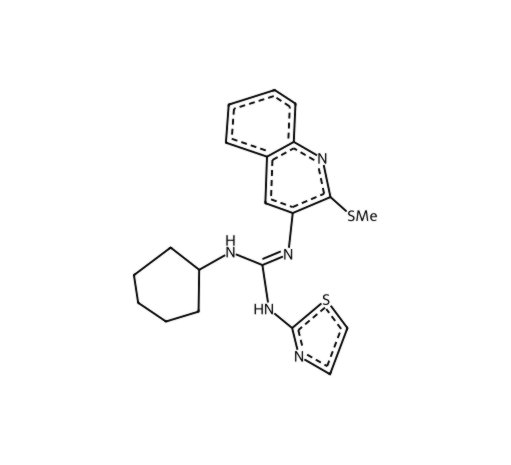 CSc1nc2ccccc2cc1N=C(Nc1nccs1)NC1CCCCC1